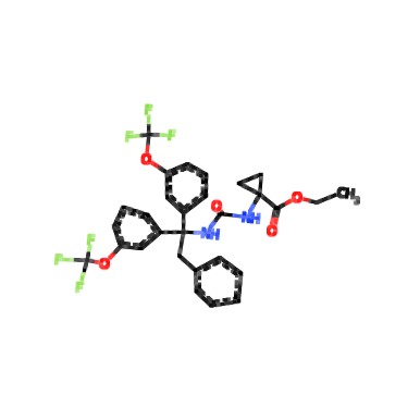 CCOC(=O)C1(NC(=O)NC(Cc2ccccc2)(c2cccc(OC(F)(F)F)c2)c2cccc(OC(F)(F)F)c2)CC1